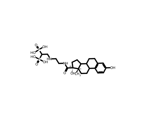 C[C@]12CCC3c4ccc(O)cc4CCC3C1CC[C@]2(O)C(=O)NCCNCC(P(=O)(O)O)P(=O)(O)O